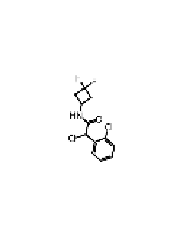 O=C(NC1CC(F)(F)C1)C(Cl)c1ccccc1Cl